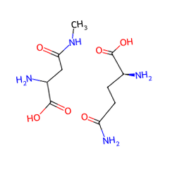 CNC(=O)CC(N)C(=O)O.NC(=O)CC[C@H](N)C(=O)O